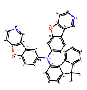 CC1(C)c2ccccc2-c2c(N(c3ccc4c(c3)oc3ccncc34)c3ccc4oc5ccncc5c4c3)cccc21